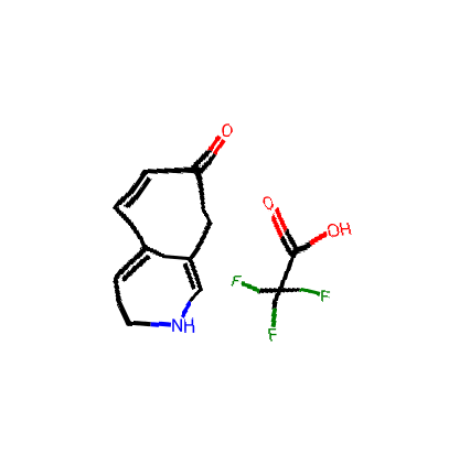 O=C(O)C(F)(F)F.O=C1C=CC2=CCNC=C2C1